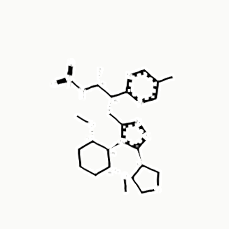 CO[C@H]1CCC[C@@H](OC)[C@@H]1n1c(C[C@@H](c2ncc(C)cn2)[C@@H](C)N[SH](=O)=O)nnc1[C@@H]1CCOC1